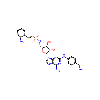 NCc1ccc(Nc2nc(N)c3ncn([C@@H]4O[C@H](CNS(=O)(=O)/C=C/c5ccccc5N)[C@@H](O)[C@H]4O)c3n2)cc1